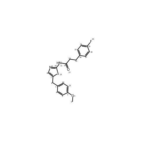 COc1ccc(Cc2cnc(NC(=O)CCc3ccc(F)cc3)s2)cc1